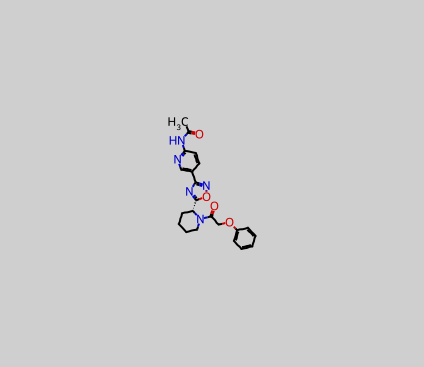 CC(=O)Nc1ccc(-c2noc([C@H]3CCCCN3C(=O)COc3ccccc3)n2)cn1